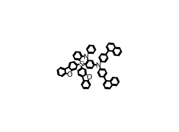 c1ccc(N2c3ccccc3[Si](c3ccc4c(c3)oc3ccccc34)(c3ccc4c(c3)oc3ccccc34)c3ccc(N(c4ccc(-c5cccc6ccccc56)cc4)c4ccc(-c5cccc6ccccc56)cc4)cc32)cc1